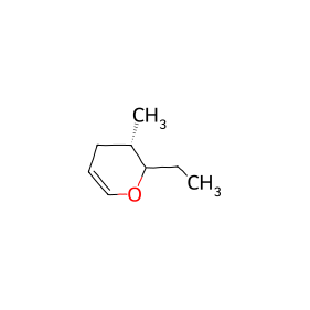 CCC1OC=CC[C@@H]1C